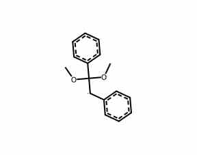 COC([CH]c1ccccc1)(OC)c1ccccc1